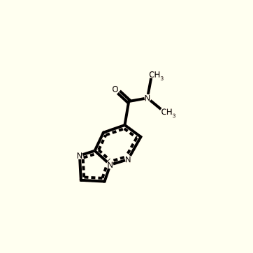 CN(C)C(=O)c1cnn2ccnc2c1